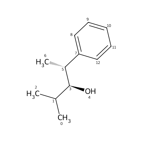 CC(C)[C@H](O)[C@H](C)c1ccccc1